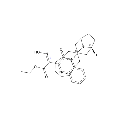 CCOC(=O)/C(=N\O)c1nc2ccccc2n([C@@H]2CC3CC[C@H](C2)N3C2CC3CCCCC(C3)C2)c1=O